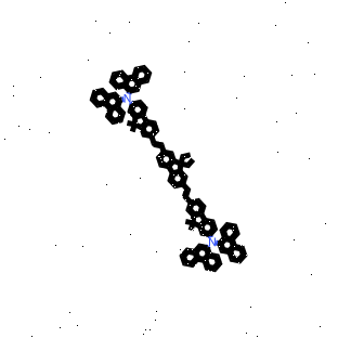 CCC1(CC)c2cc(/C=C/c3ccc4c(c3)C(C)(C)c3cc(N(c5cc6ccccc6c6ccccc56)c5cc6ccccc6c6ccccc56)ccc3-4)ccc2-c2ccc(/C=C/c3ccc4c(c3)C(C)(C)c3cc(N(c5cc6ccccc6c6ccccc56)c5cc6ccccc6c6ccccc56)ccc3-4)cc21